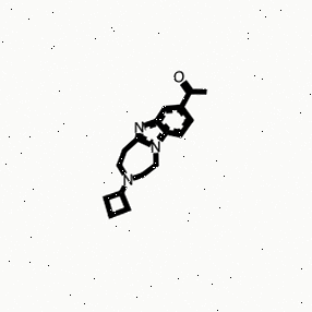 CC(=O)c1ccc2c(c1)nc1n2CCN(C2CCC2)CC1